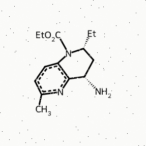 CCOC(=O)N1c2ccc(C)nc2[C@@H](N)C[C@H]1CC